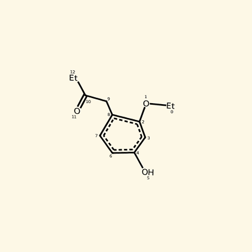 CCOc1cc(O)ccc1CC(=O)CC